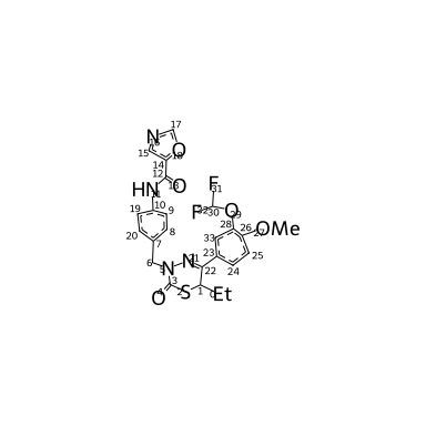 CCC1SC(=O)N(Cc2ccc(NC(=O)c3cnco3)cc2)N=C1c1ccc(OC)c(OC(F)F)c1